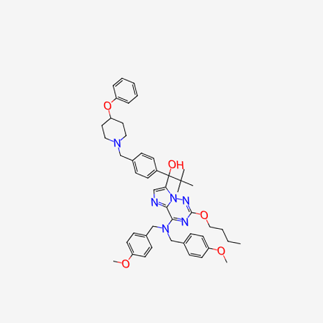 CCCCOc1nc(N(Cc2ccc(OC)cc2)Cc2ccc(OC)cc2)c2ncc(C(O)(c3ccc(CN4CCC(Oc5ccccc5)CC4)cc3)C(C)(C)C)n2n1